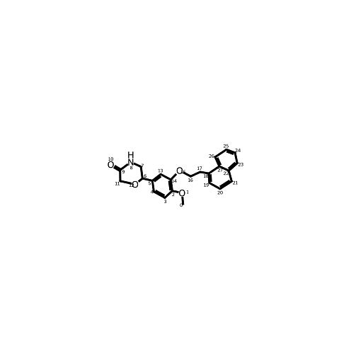 COc1ccc(C2CNC(=O)CO2)cc1OCCc1cccc2ccccc12